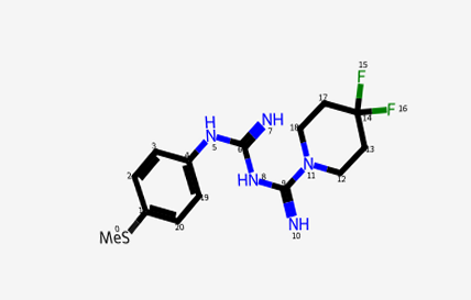 CSc1ccc(NC(=N)NC(=N)N2CCC(F)(F)CC2)cc1